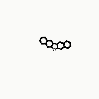 C1=c2ccccc2=CC2c3cc4ccccc4cc3OC12